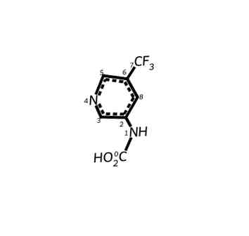 O=C(O)Nc1cncc(C(F)(F)F)c1